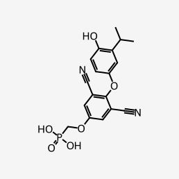 CC(C)c1cc(Oc2c(C#N)cc(OCP(=O)(O)O)cc2C#N)ccc1O